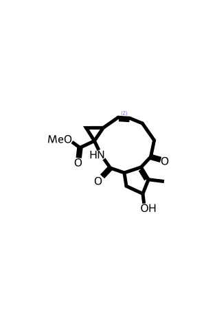 COC(=O)C12CC1/C=C\CCC(=O)C1=C(C)C(O)CC1C(=O)N2